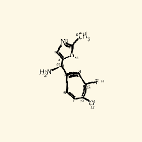 Cc1ncc([C@H](N)c2ccc(Cl)c(F)c2)o1